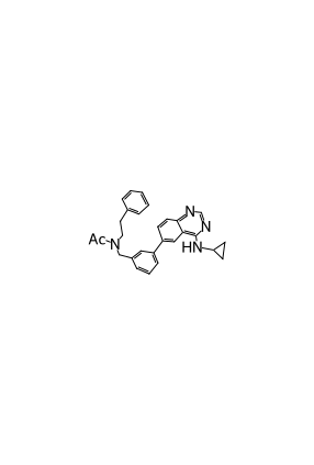 CC(=O)N(CCc1ccccc1)Cc1cccc(-c2ccc3ncnc(NC4CC4)c3c2)c1